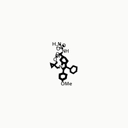 COc1ccc(-c2c(C3CCCCC3)c3ccc(C(=O)NS(N)(=O)=O)cc3n2CC2(COO)CC2)cc1